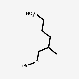 CC(CCCC(=O)O)COC(C)(C)C